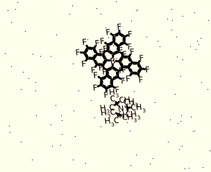 CC(C)(C)[NH+](C(C)(C)C)C(C)(C)C.Fc1c(F)c(F)c2c(F)c([B-](c3c(F)c(F)c4c(F)c(F)c(F)c(F)c4c3F)(c3c(F)c(F)c4c(F)c(F)c(F)c(F)c4c3F)c3c(F)c(F)c4c(F)c(F)c(F)c(F)c4c3F)c(F)c(F)c2c1F